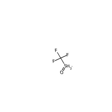 O=[SH2]C(F)(F)F